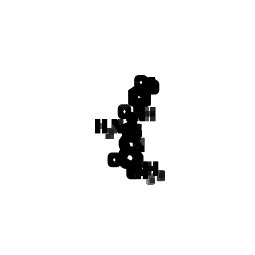 CC1(C)CC(=O)c2cc3c(N)c(C(=O)Nc4ccc5c(c4)OCO5)sc3nc2C1